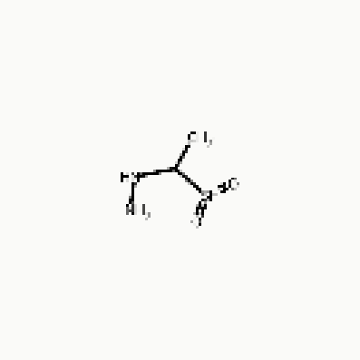 [CH2]C(NN)[SH](=O)=O